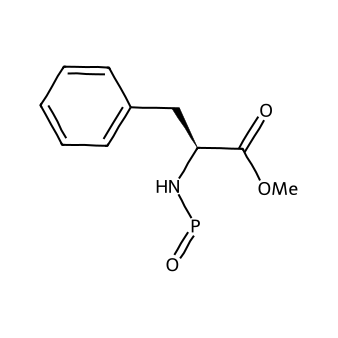 COC(=O)[C@H](Cc1ccccc1)NP=O